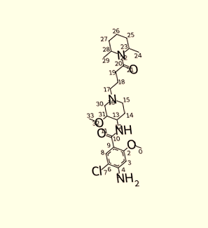 COc1cc(N)c(Cl)cc1C(=O)NC1CCN(CCCC(=O)N2C(C)CCCC2C)CC1OC